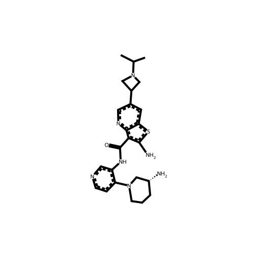 CC(C)N1CC(c2cnc3c(C(=O)Nc4cnccc4N4CCC[C@@H](N)C4)c(N)sc3c2)C1